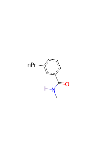 CCCc1cccc(C(=O)N(C)I)c1